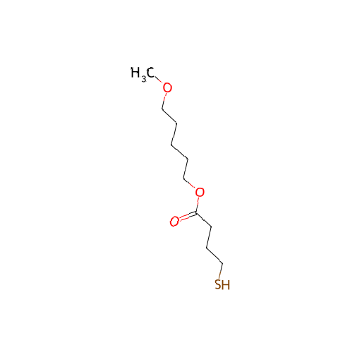 COCCCCCOC(=O)CCCS